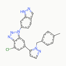 Cc1ccc(Cn2nccc2-c2cc(Cl)c3nnn(-c4ccc5cn[nH]c5c4)c3c2)cc1